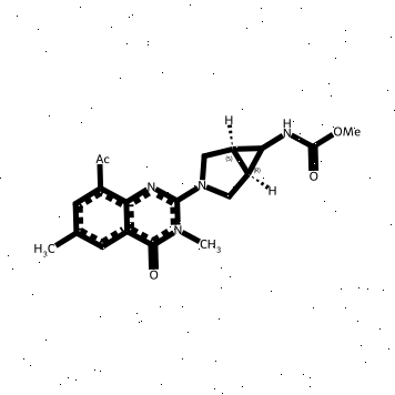 COC(=O)NC1[C@H]2CN(c3nc4c(C(C)=O)cc(C)cc4c(=O)n3C)C[C@@H]12